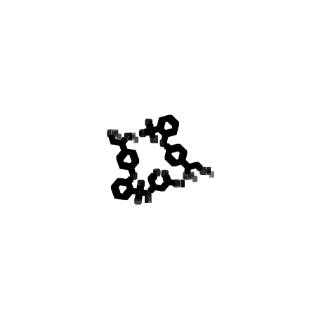 CCC(C)c1ccc(Oc2ccccc2S(=O)(=O)Cl)cc1.CCC(C)c1ccc(Oc2ccccc2S(=O)(=O)NC(C=O)CC(=O)O)cc1